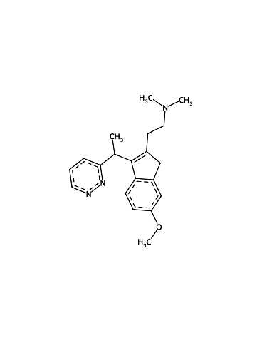 COc1ccc2c(c1)CC(CCN(C)C)=C2C(C)c1cccnn1